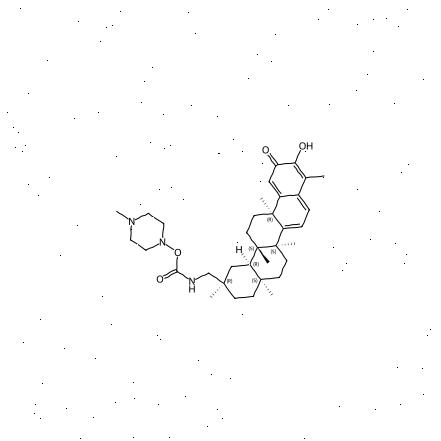 CC1=C(O)C(=O)C=C2C1=CC=C1[C@@]2(C)CC[C@@]2(C)[C@@H]3C[C@](C)(CNC(=O)ON4CCN(C)CC4)CC[C@]3(C)CC[C@]12C